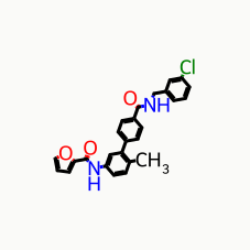 Cc1ccc(NC(=O)c2ccco2)cc1-c1ccc(C(=O)NCc2cccc(Cl)c2)cc1